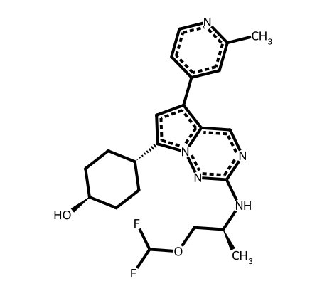 Cc1cc(-c2cc([C@H]3CC[C@H](O)CC3)n3nc(N[C@@H](C)COC(F)F)ncc23)ccn1